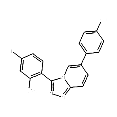 COc1cc(Cl)ccc1-c1nnc2ccc(-c3ccc(C)cc3)cn12